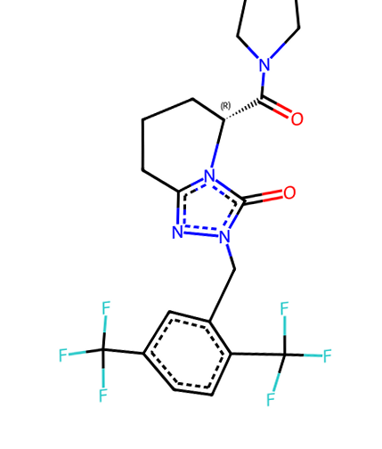 O=C([C@H]1CCCc2nn(Cc3cc(C(F)(F)F)ccc3C(F)(F)F)c(=O)n21)N1CCCC1